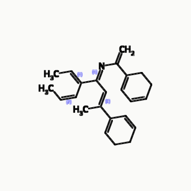 C=C(/N=C(\C=C(/C)C1=CCCC=C1)C(/C=C\C)=C/C)C1=CC=CCC1